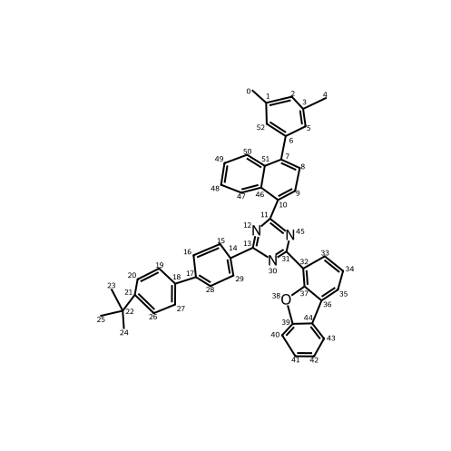 Cc1cc(C)cc(-c2ccc(-c3nc(-c4ccc(-c5ccc(C(C)(C)C)cc5)cc4)nc(-c4cccc5c4oc4ccccc45)n3)c3ccccc23)c1